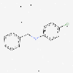 Clc1ccc(NCc2ccccc2)cc1